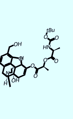 C[C@H](NC(=O)OC(C)(C)C)C(=O)O[C@@H](C)C(=O)OC1=CC[C@@]2(O)[C@H]3Cc4ccc(CO)c5c4[C@@]2(CCN3C)[C@H]1O5